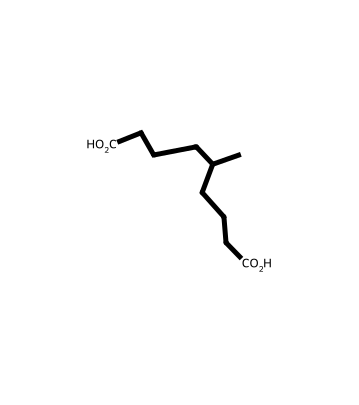 CC(CCCC(=O)O)CCCC(=O)O